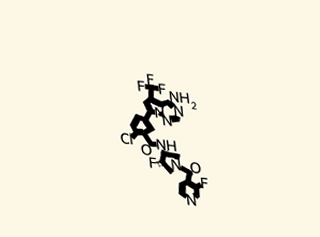 Nc1ncnn2c(-c3ccc(Cl)c(C(=O)N[C@@H]4CN(C(=O)c5ccncc5F)C[C@@H]4F)c3)cc(C(F)(F)F)c12